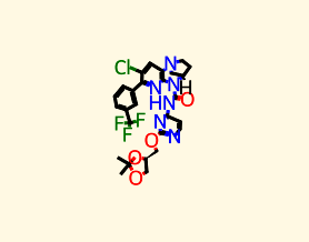 CC1(C)OC[C@H](COc2nccc(NC(=O)N3c4nc(-c5cccc(C(F)(F)F)c5)c(Cl)cc4N4CC[C@H]3C4)n2)O1